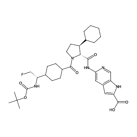 CC(C)(C)OC(=O)N[C@H](CF)C1CCC(C(=O)N2CC[C@@H](C3CCCCC3)[C@@H]2C(=O)Nc2cc3cc(C(=O)O)[nH]c3cn2)CC1